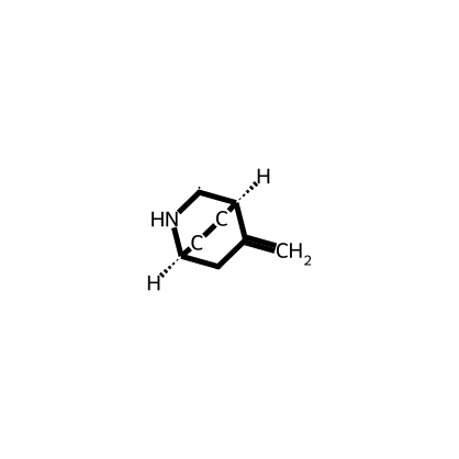 C=C1C[C@@H]2CC[C@H]1[CH]N2